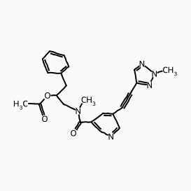 CC(=O)OC(Cc1ccccc1)CN(C)C(=O)c1cncc(C#Cc2cnn(C)n2)c1